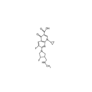 CNCC1CN(c2nc3c(cc2F)c(=O)c(C(=O)O)cn3C2CC2)CC1F